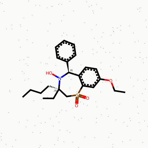 CCCC[C@@]1(CC)CS(=O)(=O)c2cc(OCC)ccc2[C@H](c2ccccc2)N1O